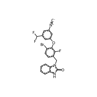 [C-]#[N+]c1cc(Oc2c(Br)ccc(Cn3c(=O)[nH]c4ccccc43)c2F)cc(C(F)F)c1